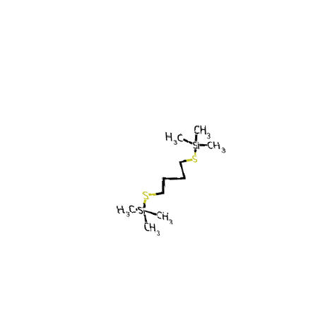 C[Si](C)(C)SCCCCS[Si](C)(C)C